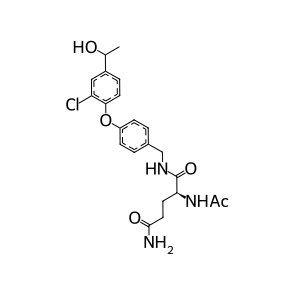 CC(=O)N[C@@H](CCC(N)=O)C(=O)NCc1ccc(Oc2ccc(C(C)O)cc2Cl)cc1